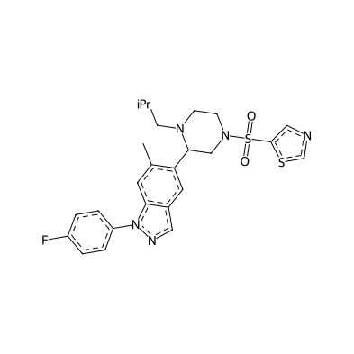 Cc1cc2c(cnn2-c2ccc(F)cc2)cc1C1CN(S(=O)(=O)c2cncs2)CCN1CC(C)C